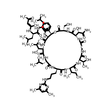 CC[C@H](C)[C@@H]1NC(=O)[C@@H](CCCNc2nc(C)cc(C)n2)NC(=O)[C@H](CC(C)C)NC(=O)[C@H]([C@H](O)C(C)C)NC(=O)[C@@H](NC(=O)[C@H](CC(C)C)NC(=O)[C@@H](CC(C)C)NC(C)=CC(C)=O)[C@@H](c2ccccc2)OC(=O)[C@H](CO)NC(=O)[C@H]([C@H](O)C(N)=O)NC(=O)CNC(=O)[C@H]([C@H](C)O)NC1=O